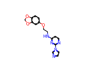 c1cn(-c2nccc(NCCOc3ccc4c(c3)OCO4)n2)cn1